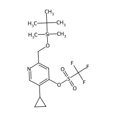 CC(C)(C)[Si](C)(C)OCc1cc(OS(=O)(=O)C(F)(F)F)c(C2CC2)cn1